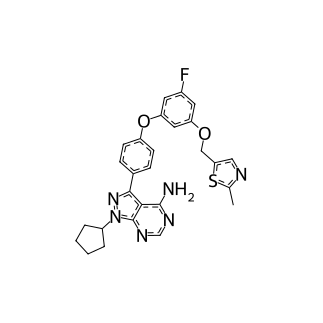 Cc1ncc(COc2cc(F)cc(Oc3ccc(-c4nn(C5CCCC5)c5ncnc(N)c45)cc3)c2)s1